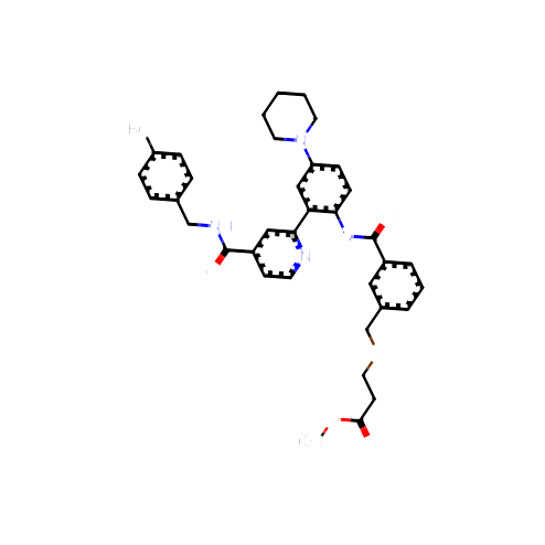 CC(C)(C)OC(=O)CCSCc1cccc(C(=O)Nc2ccc(N3CCCCC3)cc2-c2cc(C(=O)NCc3ccc(C(C)(C)C)cc3)ccn2)c1